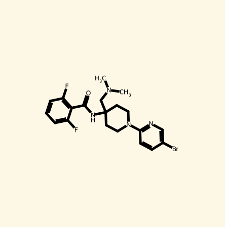 CN(C)CC1(NC(=O)c2c(F)cccc2F)CCN(c2ccc(Br)cn2)CC1